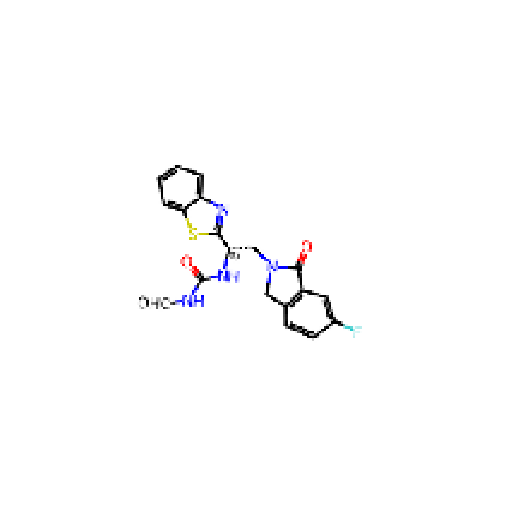 O=CNC(=O)N[C@@H](CN1Cc2ccc(F)cc2C1=O)c1nc2ccccc2s1